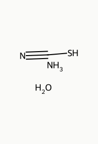 N.N#CS.O